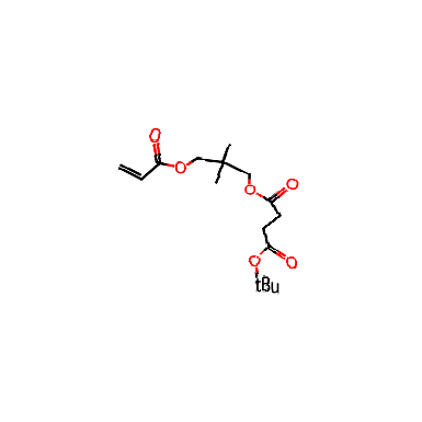 C=CC(=O)OCC(C)(C)COC(=O)CCC(=O)OC(C)(C)C